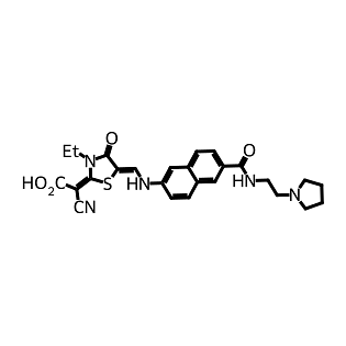 CCn1c(=C(C#N)C(=O)O)sc(=CNc2ccc3cc(C(=O)NCCN4CCCC4)ccc3c2)c1=O